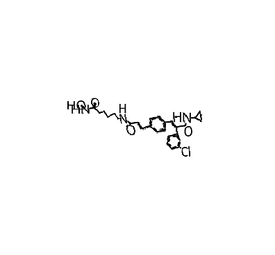 O=C(/C=C/c1ccc(/C=C(/C(=O)NC2CC2)c2cccc(Cl)c2)cc1)NCCCCCC(=O)NO